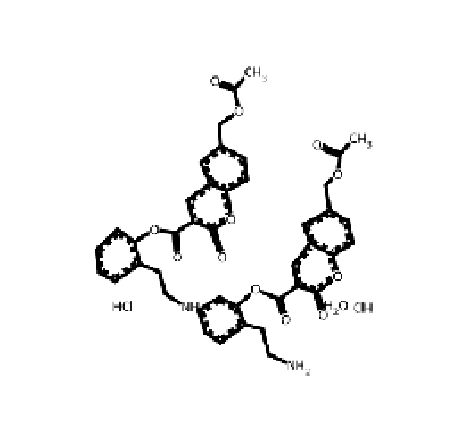 CC(=O)OCc1ccc2oc(=O)c(C(=O)Oc3ccccc3CCN)cc2c1.CC(=O)OCc1ccc2oc(=O)c(C(=O)Oc3ccccc3CCN)cc2c1.Cl.Cl.O